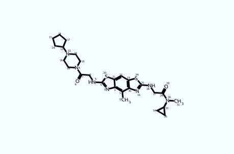 Cc1c2nc(NCC(=O)N3CCN(C4CCCC4)CC3)sc2cc2sc(NCC(=O)N(C)C3CC3)nc12